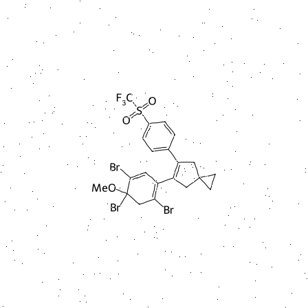 COC1(Br)CC(Br)=C(C2=C(c3ccc(S(=O)(=O)C(F)(F)F)cc3)CC3(CC3)C2)C=C1Br